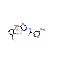 COc1cncc(C(=O)Nc2cnc(OC)c(S(=O)(=O)Nc3c(C)cccc3C)c2)c1